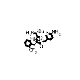 CCC(C)[C@@H](N)C(=O)N[C@@H](Cc1ccccc1C(F)(F)F)C(=O)NCc1ccc(N)nc1